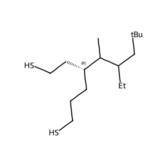 CCC(CC(C)(C)C)C(C)[C@@H](CCS)CCCS